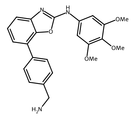 COc1cc(Nc2nc3cccc(-c4ccc(CN)cc4)c3o2)cc(OC)c1OC